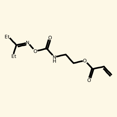 C=CC(=O)OCCNC(=O)ON=C(CC)CC